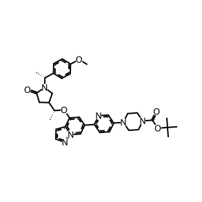 COc1ccc([C@@H](C)N2CC([C@@H](C)Oc3cc(-c4ccc(N5CCN(C(=O)OC(C)(C)C)CC5)cn4)cn4nccc34)CC2=O)cc1